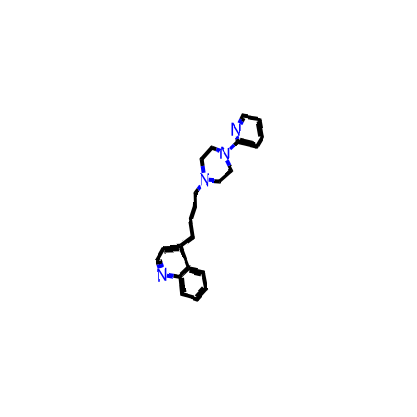 c1ccc(N2CCN(CCCCc3ccnc4ccccc34)CC2)nc1